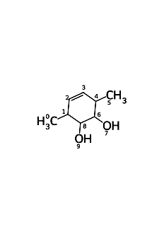 CC1C=CC(C)C(O)C1O